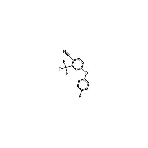 N#Cc1ccc(Oc2ccc(F)cc2)cc1C(F)(F)F